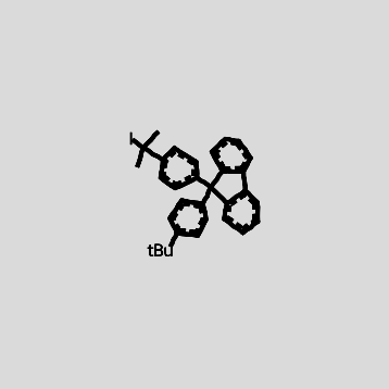 CC(C)(C)c1ccc(C2(c3ccc(C(C)(C)I)cc3)c3ccccc3-c3ccccc32)cc1